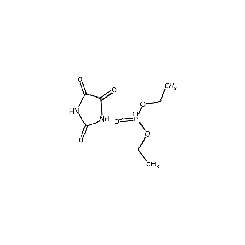 CCO[PH](=O)OCC.O=C1NC(=O)C(=O)N1